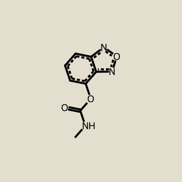 CNC(=O)Oc1cccc2nonc12